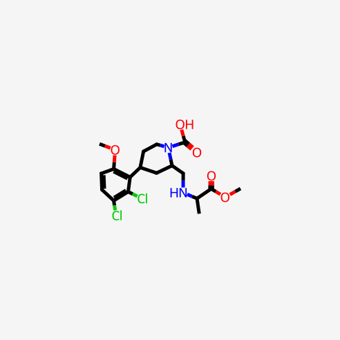 COC(=O)C(C)NCC1CC(c2c(OC)ccc(Cl)c2Cl)CCN1C(=O)O